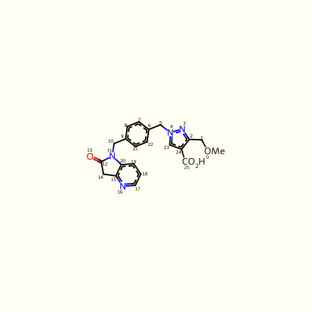 COCc1nn(Cc2ccc(CN3C(=O)Cc4ncccc43)cc2)cc1C(=O)O